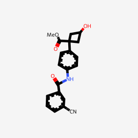 COC(=O)C1(c2ccc(NC(=O)c3cccc(C#N)c3)cc2)CC(O)C1